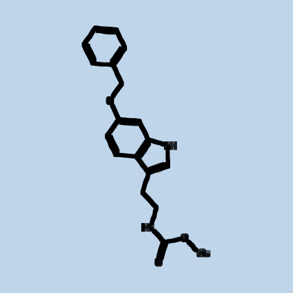 CC(C)(C)OC(=O)NCCc1c[nH]c2cc(OCc3ccccc3)ccc12